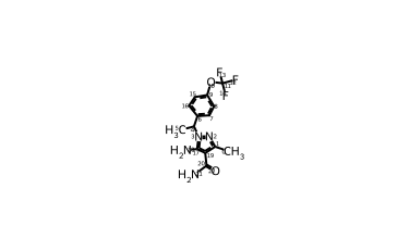 Cc1nn(C(C)c2ccc(OC(F)(F)F)cc2)c(N)c1C(N)=O